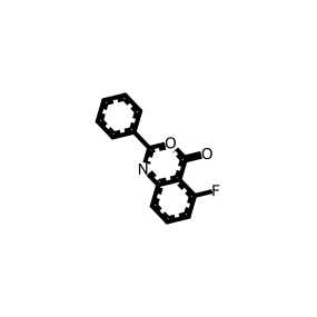 O=c1oc(-c2ccccc2)nc2cccc(F)c12